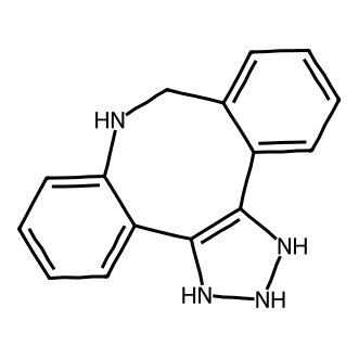 c1ccc2c(c1)CNc1ccccc1C1=C2NNN1